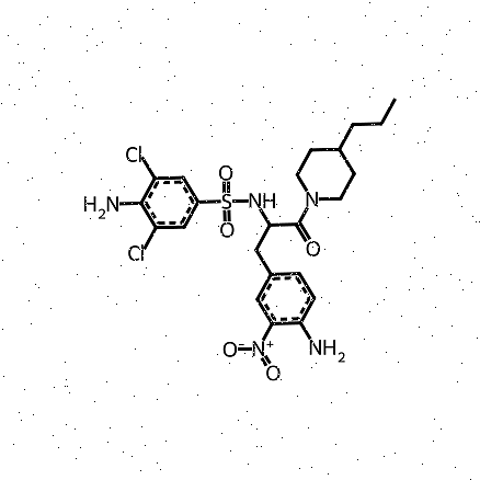 CCCC1CCN(C(=O)C(Cc2ccc(N)c([N+](=O)[O-])c2)NS(=O)(=O)c2cc(Cl)c(N)c(Cl)c2)CC1